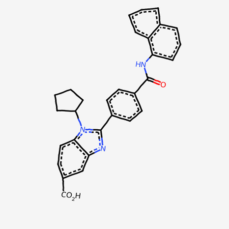 O=C(O)c1ccc2c(c1)nc(-c1ccc(C(=O)Nc3cccc4ccccc34)cc1)n2C1CCCC1